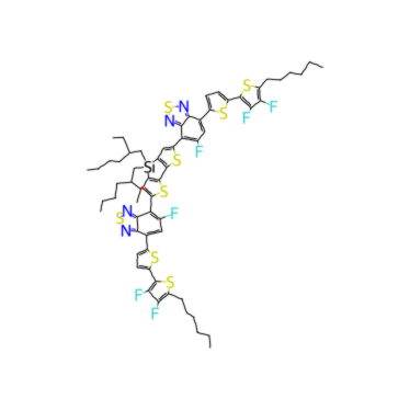 CCCCCCc1sc(-c2ccc(-c3cc(F)c(-c4cc5c(s4)-c4sc(-c6c(F)cc(-c7ccc(-c8sc(CCCCCC)c(F)c8F)s7)c7nsnc67)cc4[Si]5(CC(CC)CCCC)CC(CC)CCCC)c4nsnc34)s2)c(F)c1F